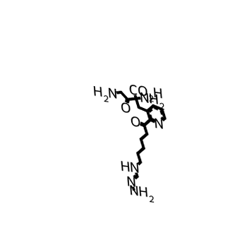 NCC(=O)C(N)(Cc1cccnc1C(=O)CCCCCNC=NN)C(=O)O